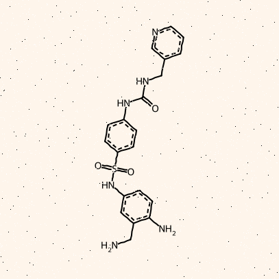 NCc1cc(NS(=O)(=O)c2ccc(NC(=O)NCc3cccnc3)cc2)ccc1N